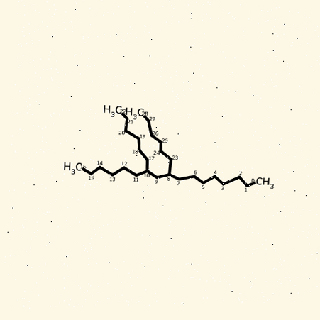 CCCCCCCCC([CH]C(CCCCCC)CCCCCC)CCCCCC